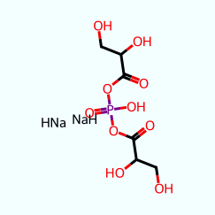 O=C(OP(=O)(O)OC(=O)C(O)CO)C(O)CO.[NaH].[NaH]